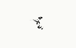 CC(C)(C)[Si](C)(C)OCCC1(NC(=O)OCc2ccccc2)CC(=O)N(c2ccc3c(n2)NC(=O)CO3)C1